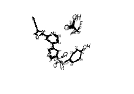 Cc1c[nH]c(-c2cc(-c3cncc(S(=O)(=O)NC4CCC(O)CC4)c3)ccn2)n1.O=C(O)C(F)(F)F